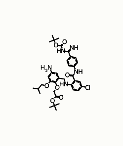 CC(C)COc1cc(N)cc(CNc2ccc(Cl)cc2C(=O)Nc2ccc(C(=N)NC(=O)OC(C)(C)C)cc2)c1OCC(=O)OC(C)(C)C